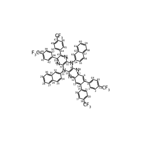 FC(F)(F)c1ccc(-c2cc3nc4c(nc3cc2-c2ccc(C(F)(F)F)cc2)N(c2ccc3ccccc3c2)c2nc(-c3ccc(C(F)(F)F)cc3)c(-c3ccc(C(F)(F)F)cc3)nc2N4c2ccc3ccccc3c2)cc1